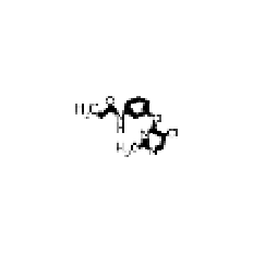 C=CC(=O)Nc1cccc(Oc2nc(C)ncc2Cl)c1